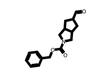 O=CC1CC2CN(C(=O)OCc3ccccc3)CC2C1